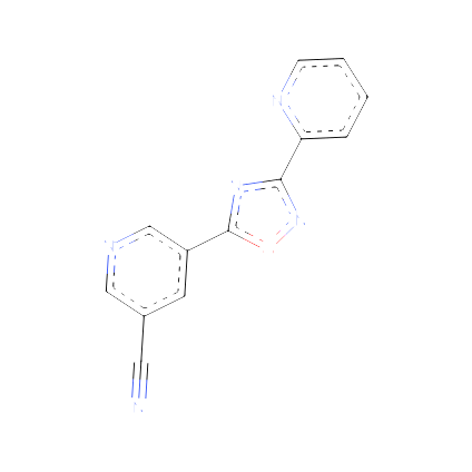 N#Cc1cncc(-c2nc(-c3ccccn3)no2)c1